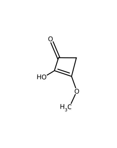 COC1=C(O)C(=O)C1